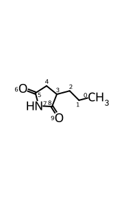 CCCC1CC(=O)NC1=O